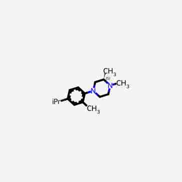 Cc1cc(C(C)C)ccc1N1CCN(C)[C@@H](C)C1